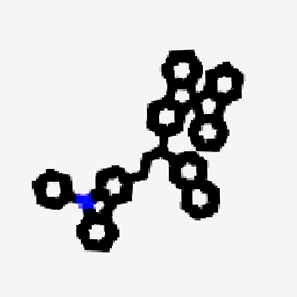 c1ccc(-n2c3ccccc3c3cc(CCC(c4ccc5c(c4)C4(c6ccccc6-c6ccccc64)c4ccccc4-5)c4ccc5ccccc5c4)ccc32)cc1